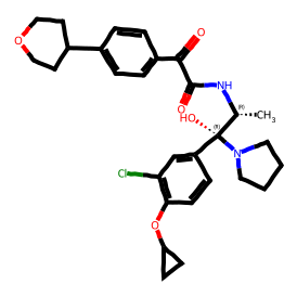 C[C@@H](NC(=O)C(=O)c1ccc(C2CCOCC2)cc1)[C@](O)(c1ccc(OC2CC2)c(Cl)c1)N1CCCC1